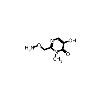 Cn1c(CON)ncc(O)c1=O